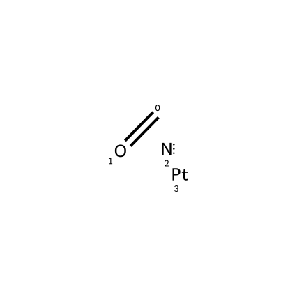 C=O.[N].[Pt]